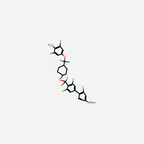 CCCCCc1ccc(-c2cc(F)c(C(F)(F)OC3CCC(C(F)(F)Oc4cc(F)c(C(F)(F)F)c(F)c4)CC3)c(F)c2)c(F)c1